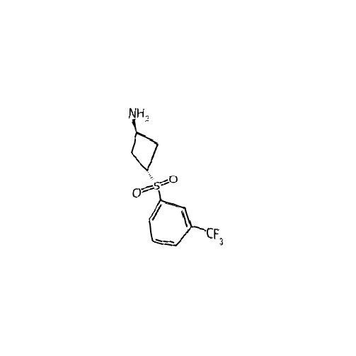 N[C@H]1C[C@H](S(=O)(=O)c2cccc(C(F)(F)F)c2)C1